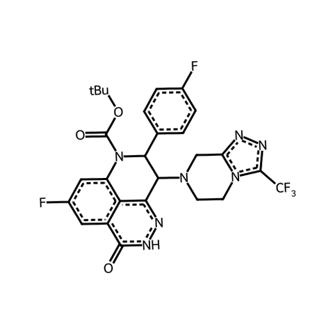 CC(C)(C)OC(=O)N1c2cc(F)cc3c(=O)[nH]nc(c23)C(N2CCn3c(nnc3C(F)(F)F)C2)C1c1ccc(F)cc1